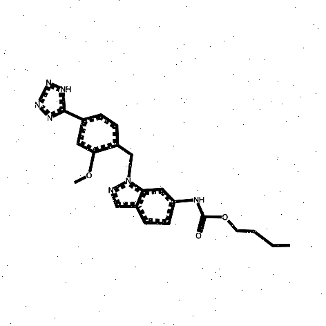 CCCCOC(=O)Nc1ccc2cnn(Cc3ccc(-c4nnn[nH]4)cc3OC)c2c1